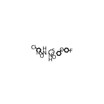 O=C(NC[C@@H]1CCS[C@H](c2cccc(Oc3ccc(F)cc3)c2)C(=O)N1)c1ccc(Cl)cn1